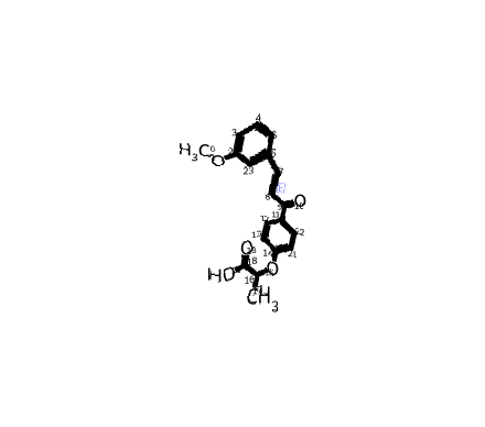 COc1cccc(/C=C/C(=O)c2ccc(OC(C)C(=O)O)cc2)c1